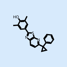 Cc1cc(-c2nc3ccc(C4(c5ccccc5)CC4)nc3s2)cc(C)c1O